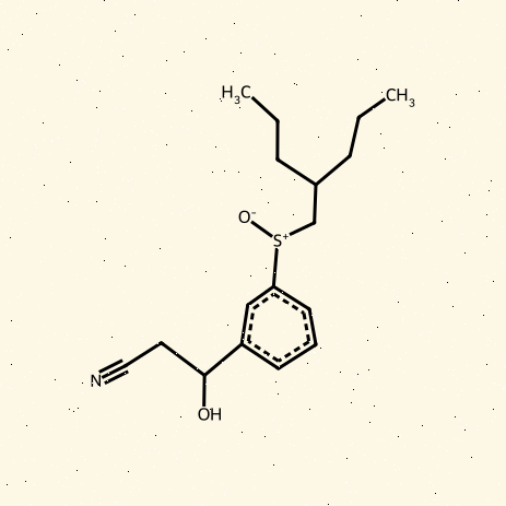 CCCC(CCC)C[S+]([O-])c1cccc(C(O)CC#N)c1